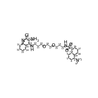 CN(C)c1cccc2c(S(=O)(=O)NCCCOCCOCCCNc3c(N)c(Cl)nc4ccccc34)cccc12